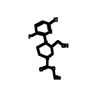 CC(C)(C)OC(=O)N1CCN(c2nc(Cl)ccc2F)C(CO)C1